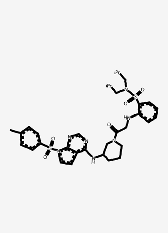 Cc1ccc(S(=O)(=O)n2ccc3c(NC4CCCN(C(=O)CNc5ccccc5S(=O)(=O)N(CC(C)C)CC(C)C)C4)ncnc32)cc1